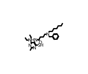 CCCCCCCN(CCCC(=O)Nc1c(S)nc(C)nc1N(CC)CC)Cc1ccccc1